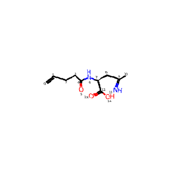 C=CCCC(=O)N[C@@H](CC(C)=N)C(=O)O